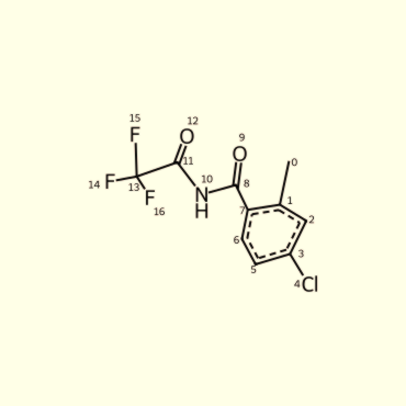 Cc1cc(Cl)ccc1C(=O)NC(=O)C(F)(F)F